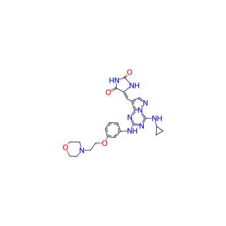 O=C1NC(=O)/C(=C/c2cnn3c(NC4CC4)nc(Nc4cccc(OCCN5CCOCC5)c4)nc23)N1